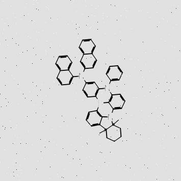 CC12CCCCC1(C)N1c3cccc4c3B(c3ccc(N(c5ccc6ccccc6c5)c5cccc6ccccc56)cc3N4c3ccccc3)c3cccc2c31